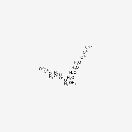 O.O.O.O.O.O.O.O.O.[Cr+3].[Cr+3].[O-2].[O-2].[O-2]